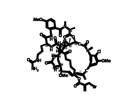 C=C(CBr)C(=O)OCCCCCC(=O)N[C@H](C(=O)N[C@@H](CCCNC(N)=O)C(=O)Nc1cc(OC)ccc1C(=O)N(C)[C@@H](C)C(=O)O[C@H]1CC(=O)N(C)c2cc(cc(OC)c2Cl)C/C(C)=C/C=C/[C@@H](OC)[C@@]2(O)C[C@H](OC(=O)N2)[C@@H](C)[C@@H]2O[C@@]12C)C(C)C